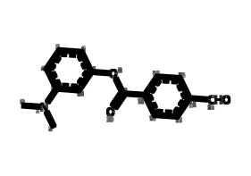 CN(C)c1cccc(OC(=O)c2ccc(C=O)cc2)c1